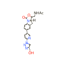 CC(=O)NC[C@@H]1OC(=O)N2c3ccc(-c4ccc(-n5cc(CO)nn5)nc4)cc3C[C@H]12